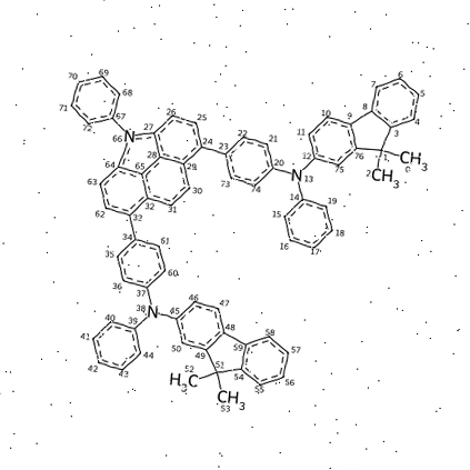 CC1(C)c2ccccc2-c2ccc(N(c3ccccc3)c3ccc(-c4ccc5c6c4ccc4c(-c7ccc(N(c8ccccc8)c8ccc9c(c8)C(C)(C)c8ccccc8-9)cc7)ccc(c46)n5-c4ccccc4)cc3)cc21